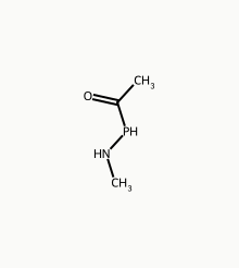 CNPC(C)=O